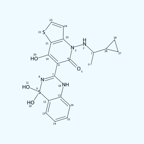 CC(Nn1c(=O)c(C2=NS(O)(O)c3ccccc3N2)c(O)c2sccc21)C1CC1